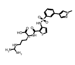 Cn1cc(-c2cccc(S(=O)(=O)Nc3ccsc3C(=O)N[C@@H](CCCNC(N)N)C(=O)O)c2)cn1